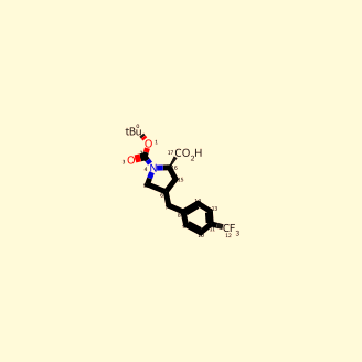 CC(C)(C)OC(=O)N1CC(Cc2ccc(C(F)(F)F)cc2)C[C@@H]1C(=O)O